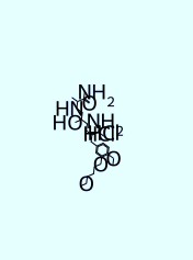 COCCCOc1cc(CC(CC(N)C(O)CNC(C)C(N)=O)C(C)C)ccc1OC.Cl.Cl